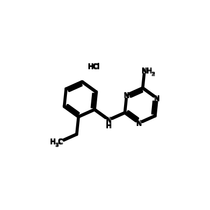 CCc1ccccc1Nc1ncnc(N)n1.Cl